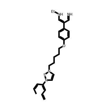 C=C/C=C(\C=C/C)N1C=CN(CCCCCOc2ccc(/C(C=N)=C/NCC)cc2)S1